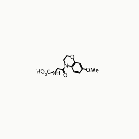 COc1ccc2c(c1)OCCN2C(=O)CNC(=O)O